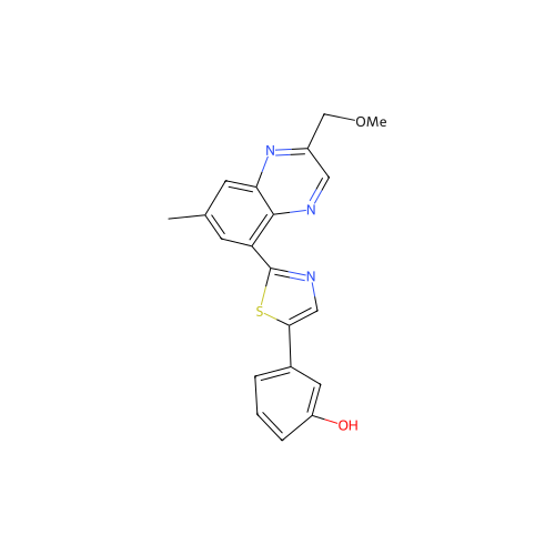 COCc1cnc2c(-c3ncc(-c4cccc(O)c4)s3)cc(C)cc2n1